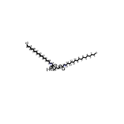 CCCCCCCCCCCCCCC/C=C/C(=O)OCC(CO)OC(=O)/C=C/CCCCCCCCCCCCCCC